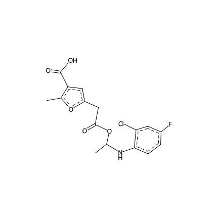 Cc1oc(CC(=O)OC(C)Nc2ccc(F)cc2Cl)cc1C(=O)O